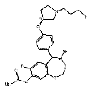 CC(C)(C)C(=O)Oc1cc2c(cc1F)C(c1ccc(O[C@H]3CCN(CCCF)C3)cc1)=C(Br)CCO2